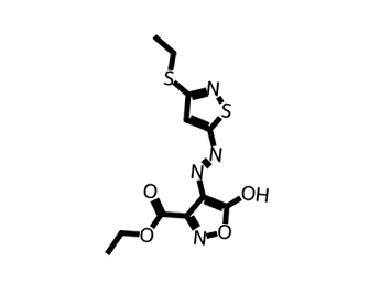 CCOC(=O)c1noc(O)c1N=Nc1cc(SCC)ns1